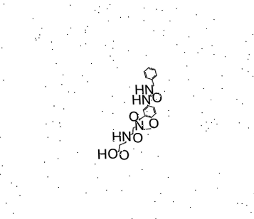 O=C(O)CCNC(=O)CN1CCOc2ccc(NC(=O)NCc3ccccc3)cc2C1=O